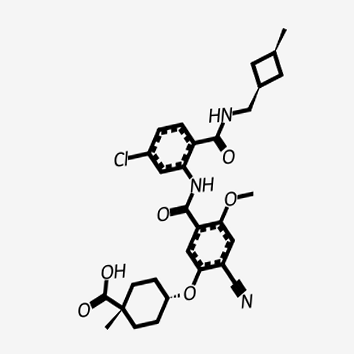 COc1cc(C#N)c(O[C@H]2CC[C@@](C)(C(=O)O)CC2)cc1C(=O)Nc1cc(Cl)ccc1C(=O)NC[C@H]1C[C@@H](C)C1